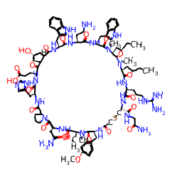 CCCC[C@H]1C(=O)N(C)[C@@H](CCCC)C(=O)N[C@@H](CCCNC(=N)N)C(=O)N[C@H](C(=O)NCC(N)=O)CSCC(=O)N[C@@H](Cc2ccc(OC)cc2)C(=O)N(C)[C@@H](C)C(=O)N[C@@H](CC(N)=O)C(=O)N2CCCC2C(=O)N[C@@H](Cc2cnc[nH]2)C(=O)N[C@@H](CCC(=O)O)C(=O)C2C[C@H](O)C[C@H]2C(=O)N[C@@H](Cc2c[nH]c3ccccc23)C(=O)N[C@@H](CCN)C(=O)N[C@@H](Cc2c[nH]c3ccccc23)C(=O)N1C